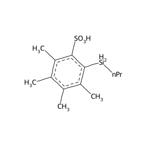 CCC[SiH2]c1c(C)c(C)c(C)c(C)c1S(=O)(=O)O